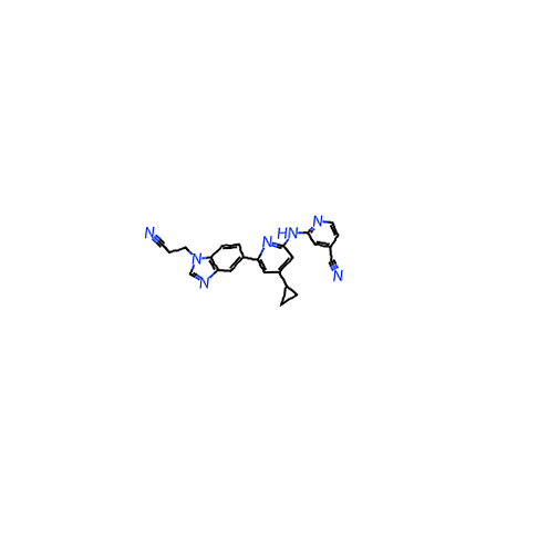 N#CCCn1cnc2cc(-c3cc(C4CC4)cc(Nc4cc(C#N)ccn4)n3)ccc21